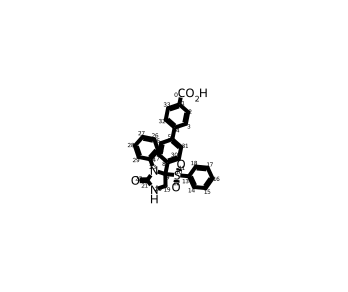 O=C(O)c1ccc(-c2ccc(C3(S(=O)(=O)c4ccccc4)CNC(=O)N3c3ccccc3)cc2)cc1